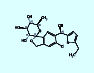 CCc1ccc([C@H](O)c2cc3c(cc2Cl)CO[C@]32O[C@H](C)[C@@H](O)[C@H](O)[C@H]2O)s1